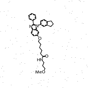 COCCCNC(=O)CCCCCOc1ccc2nc(-c3ccccc3)n(-c3ccc4c(c3)CCC4)c2c1